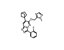 Cn1ncnc1COc1nn2c(-c3ccccc3F)nnc2cc1C12CCC(C1)C2